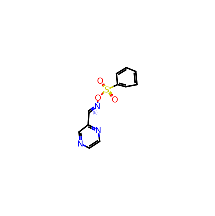 O=S(=O)(O/N=C/c1cnccn1)c1ccccc1